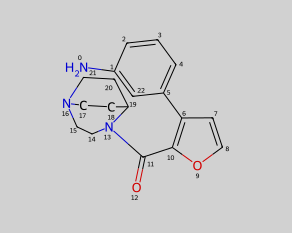 Nc1cccc(-c2ccoc2C(=O)N2CCN3CCC2CC3)c1